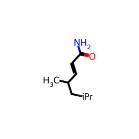 CC(C)CC(C)C=CC(N)=O